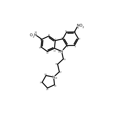 O=[N+]([O-])c1ccc2c(c1)c1cc([N+](=O)[O-])ccc1n2CCCN1CCCC1